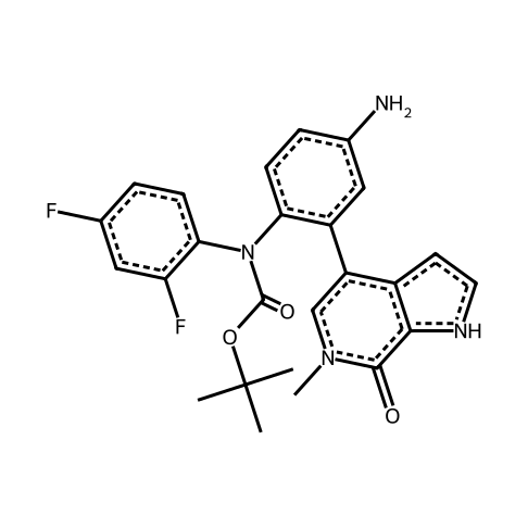 Cn1cc(-c2cc(N)ccc2N(C(=O)OC(C)(C)C)c2ccc(F)cc2F)c2cc[nH]c2c1=O